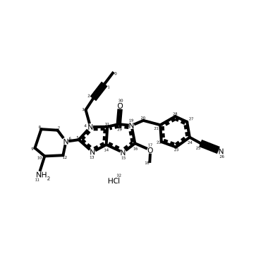 CC#CCn1c(N2CCCC(N)C2)nc2nc(OC)n(Cc3ccc(C#N)cc3)c(=O)c21.Cl